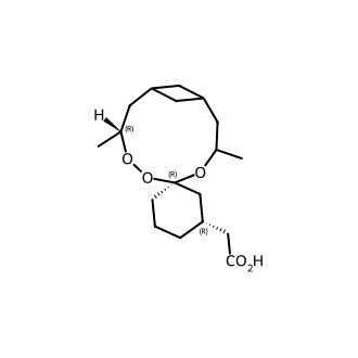 CC1CC2CC(C2)C[C@@H](C)OO[C@@]2(CCC[C@@H](CC(=O)O)C2)O1